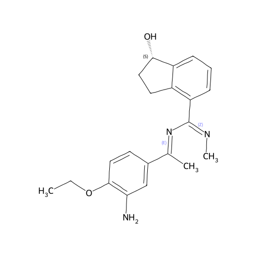 CCOc1ccc(/C(C)=N/C(=N\C)c2cccc3c2CC[C@@H]3O)cc1N